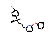 C#CC(C)(CCCc1cccc(Oc2ccccc2)n1)c1ccc(CC)cc1